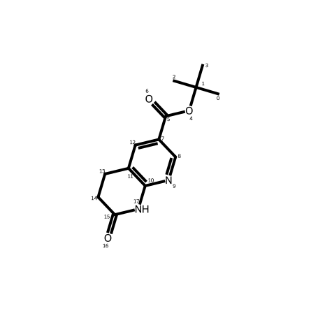 CC(C)(C)OC(=O)c1cnc2c(c1)CCC(=O)N2